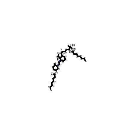 C=C1CC[C@H](OC(=O)CCCCCCC)C/C1=C/C=C1\CCC[C@]2(C)[C@@H]([C@H](C)CCC(OC(=O)CCCCCCC)C(C)(C)O)CC[C@@H]12